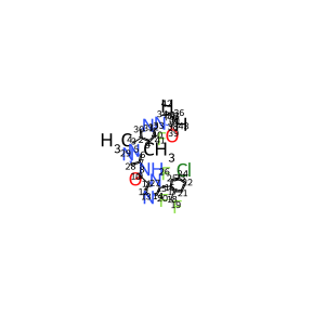 Cc1c(C(C)n2cc(NC(=O)c3cncc(-c4c(C(F)F)ccc(Cl)c4F)n3)cn2)cnc(N2C[C@H]3C[C@H]3C2=O)c1F